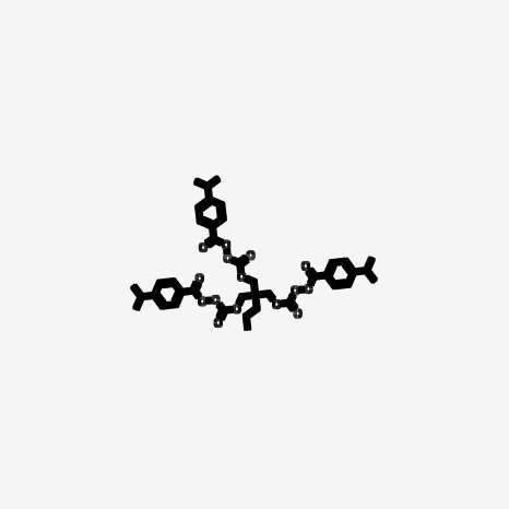 CCCC(COC(=O)OOC(=O)c1ccc(C(C)C)cc1)(COC(=O)OOC(=O)c1ccc(C(C)C)cc1)COC(=O)OOC(=O)c1ccc(C(C)C)cc1